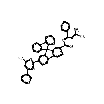 C=C(/N=C(\N=C(\C)N)c1ccccc1)c1ccc2c(c1)C1(c3ccccc3-c3ccccc31)c1cc(-c3nc(C)nc(-c4ccccc4)n3)ccc1-2